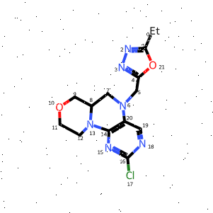 CCc1nnc(CN2CC3COCCN3c3nc(Cl)ncc32)o1